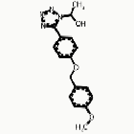 COc1ccc(COc2ccc(-c3nnnn3C(C)O)cc2)cc1